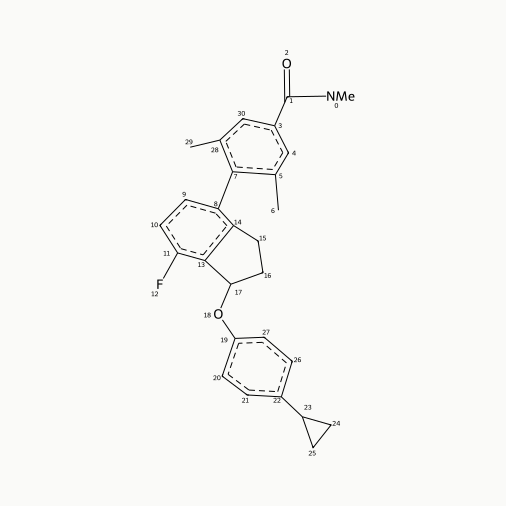 CNC(=O)c1cc(C)c(-c2ccc(F)c3c2CCC3Oc2ccc(C3CC3)cc2)c(C)c1